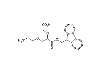 NCCOCC(OCC(=O)O)C(=O)OCC1c2ccccc2-c2ccccc21